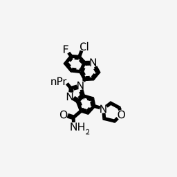 CCCc1nc2c(C(N)=O)cc(N3CCOCC3)cc2n1-c1ccnc2c(Cl)c(F)ccc12